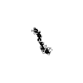 Cc1nc(N[C@H](C)c2cccc(C(F)F)c2F)c2cc(-c3cncc(CN4CCC(c5cc6c(cc5F)C(=O)N(C5CCC(=O)NC5=O)C6)CC4)c3)ncc2n1